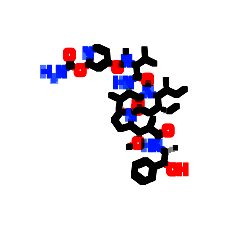 CC[C@H](CC(=O)N1CCCC1[C@@H](OC)C(C)C(=O)N[C@H](C)[C@@H](O)c1ccccc1)[C@H]([C@@H](C)CC)N(C)C(=O)[C@@H](NC(=O)[C@H](C(C)C)N(C)Oc1ccnc(OC(N)=O)c1)C(C)C